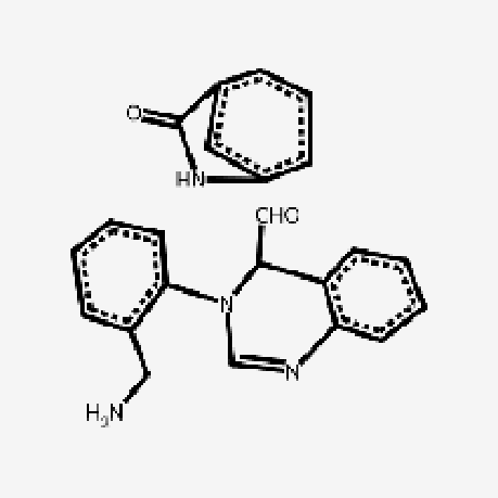 NCc1ccccc1N1C=Nc2ccccc2C1C=O.O=C1Nc2cccc1c2